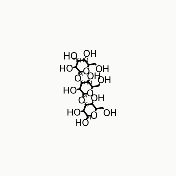 OCC1O[C@@H](O)C(O)[C@@H](O[C@@H]2OC(CO)[C@@H](O)[C@H](O[C@@H]3OC(CO)[C@@H](O)[C@H](O)C3O)C2O)C1O